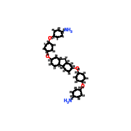 Nc1ccc(Oc2ccc(Oc3ccc4c(c3)Cc3cc(Oc5ccc(Oc6ccc(N)cc6)cc5)ccc3-4)cc2)cc1